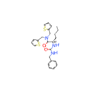 CCCC[C@@H](NC(=O)NCc1ccccc1)C(=O)N(Cc1cccs1)Cc1cccs1